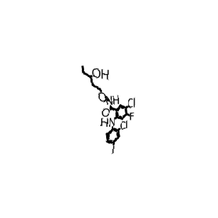 CCC(O)CCONC(=O)c1cc(Cl)c(F)cc1Nc1ccc(I)cc1Cl